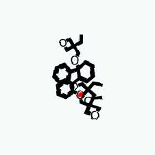 CCC1(COc2ccccc2C2=CC=CCC2(OCC2(CC)COC2)c2ccccc2OCC2(CC)COC2)COC1